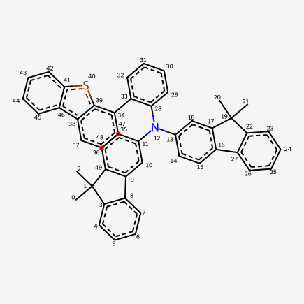 CC1(C)c2ccccc2-c2cc(N(c3ccc4c(c3)C(C)(C)c3ccccc3-4)c3ccccc3-c3cccc4c3sc3ccccc34)ccc21